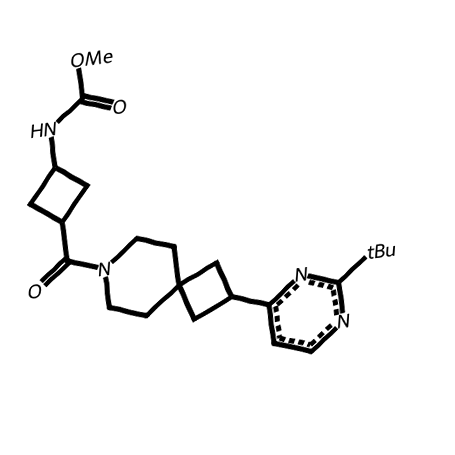 COC(=O)NC1CC(C(=O)N2CCC3(CC2)CC(c2ccnc(C(C)(C)C)n2)C3)C1